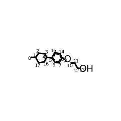 CC1CCC(c2ccc(OCCCO)cc2)CC1